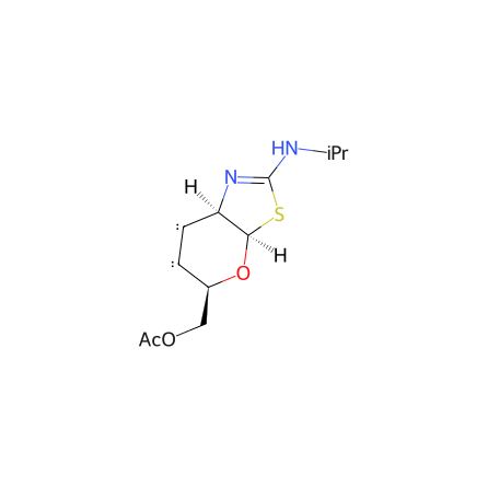 CC(=O)OC[C@H]1[C][C][C@H]2N=C(NC(C)C)S[C@H]2O1